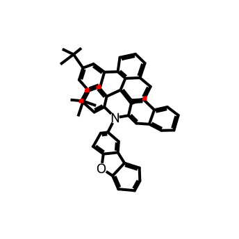 CC(C)(C)c1cc(-c2cccc3cccc(-c4ccccc4N(c4ccc5ccccc5c4)c4ccc5oc6ccccc6c5c4)c23)cc(C(C)(C)C)c1